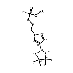 CCC(C)OP(=O)(O)CCCn1cc(B2OC(C)(C)C(C)(C)O2)cn1